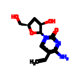 C=Cc1cn([C@@H]2O[C@H](CO)C[C@H]2O)c(=O)nc1N